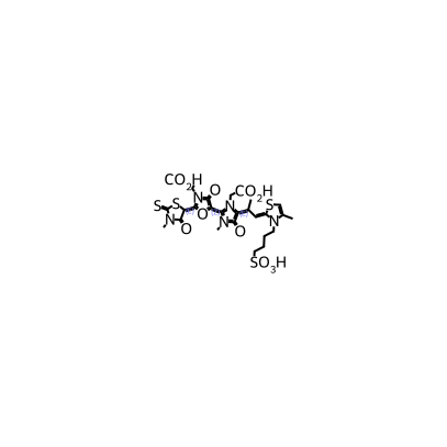 CC1=CSC(=C/C(C)=c2\c(=O)n(C)/c(=c3\o/c(=C4/SC(=S)N(C)C4=O)n(CC(=O)O)c3=O)n2CC(=O)O)N1CCCCS(=O)(=O)O